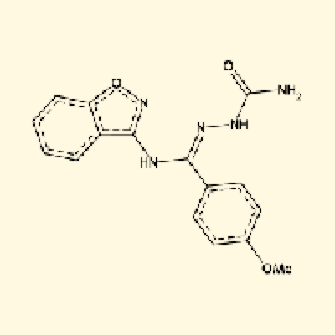 COc1ccc(C(=NNC(N)=O)Nc2noc3ccccc23)cc1